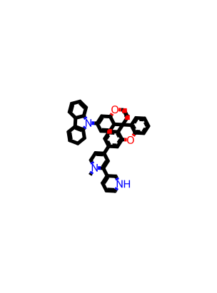 CN1CC=C(c2ccc3c(c2)Oc2ccccc2C32C3=CCCC=C3OC3C=C(N4C5=C(C=CCC5)C5C=CC=CC54)C=CC32)C=C1C1=CC=CNC1